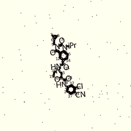 CC(C)n1c(=O)n(CC2CC2)c(=O)c2cc(C(=O)NN3CCO[C@H](C(=O)Nc4ccc(C#N)c(Cl)c4)C3)ccc21